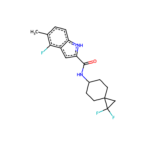 Cc1ccc2[nH]c(C(=O)NC3CCC4(CC3)CC4(F)F)cc2c1F